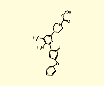 Cc1cc(C2CCN(C(=O)OC(C)(C)C)CC2)nc(-c2ccc(Oc3ccccc3)cc2F)c1N